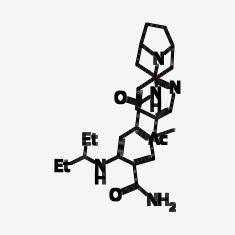 CCC(CC)Nc1cc(C(=O)NC2CC3CCC(C2)N3c2ccc(C(C)=O)cn2)c(C)cc1C(N)=O